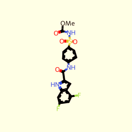 COC(=O)NS(=O)(=O)c1ccc(NC(=O)c2cc3c(F)cc(F)cc3[nH]2)cc1